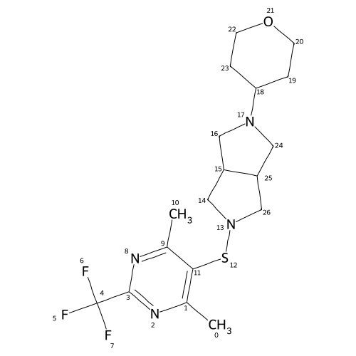 Cc1nc(C(F)(F)F)nc(C)c1SN1CC2CN(C3CCOCC3)CC2C1